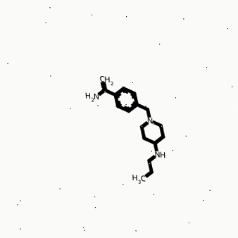 C=C(N)c1ccc(CN2CCC(NCCC)CC2)cc1